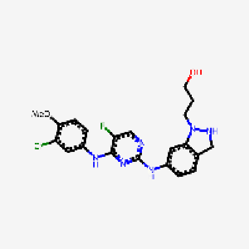 COc1ccc(Nc2nc(Nc3ccc4c(c3)N(CCCO)NC4)ncc2F)cc1Cl